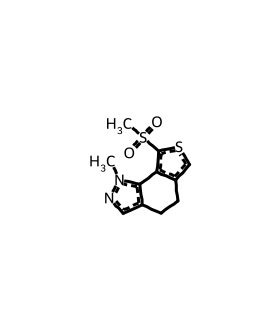 Cn1ncc2c1-c1c(csc1S(C)(=O)=O)CC2